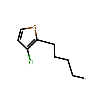 [CH2]CCCCc1sccc1Cl